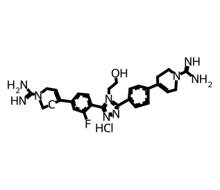 Cl.N=C(N)N1CC=C(c2ccc(-c3nnc(-c4ccc(C5=CCN(C(=N)N)CC5)cc4F)n3CCO)cc2)CC1